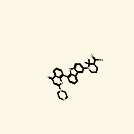 CC1(C)C(C(N)=O)CCCN1c1ccc2sc3c(-c4cccc5c(=O)cc(N6CCOCC6)oc45)cccc3c2c1